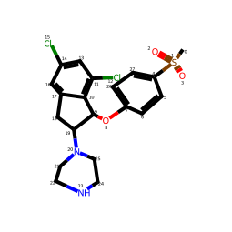 CS(=O)(=O)c1ccc(OC2c3c(Cl)cc(Cl)cc3CC2N2CCNCC2)cc1